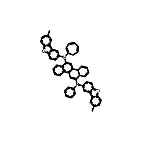 Cc1ccc2oc3ccc(N(C4=Cc5c(cc(N(C6=CC=CC=CC6)c6ccc7oc8ccc(C)cc8c7c6)c6ccccc56)C5C=CC=CC45)c4ccccc4)cc3c2c1